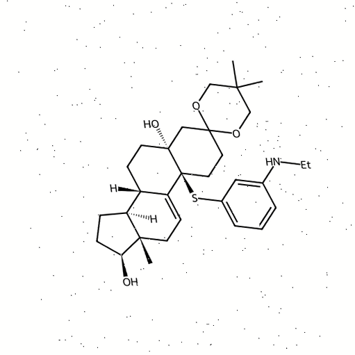 CCNc1cccc(S[C@]23CCC4(C[C@]2(O)CC[C@@H]2C3=CC[C@]3(C)[C@@H](O)CC[C@@H]23)OCC(C)(C)CO4)c1